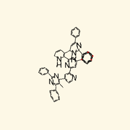 Cc1c(-c2ccccc2)nc(-c2ccccc2)nc1-c1ccnc(-c2cc(-c3ccccc3)cc(C3=C(C4C=C(c5ccccc5)N=C(c5ccccc5)N4)C=CCN3)n2)c1